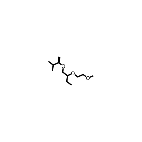 C=C(OCC(CC)OCCOC)C(C)C